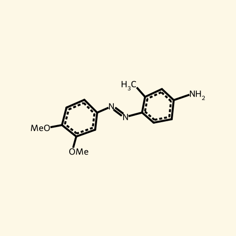 COc1ccc(N=Nc2ccc(N)cc2C)cc1OC